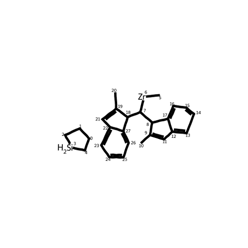 C1CC[SiH2]C1.[CH3][Zr][CH](C1C(C)=Cc2ccccc21)C1C(C)=Cc2ccccc21